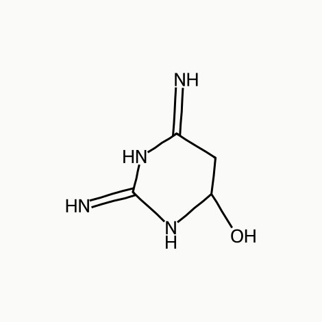 N=C1CC(O)NC(=N)N1